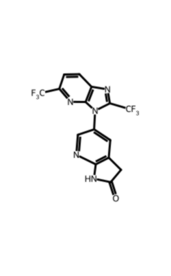 O=C1Cc2cc(-n3c(C(F)(F)F)nc4ccc(C(F)(F)F)nc43)cnc2N1